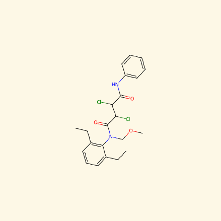 CCc1cccc(CC)c1N(COC)C(=O)C(Cl)C(Cl)C(=O)Nc1ccccc1